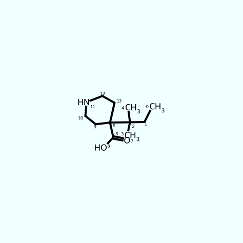 CCC(C)(C)C1(C(=O)O)CCNCC1